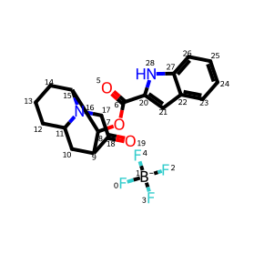 F[B-](F)(F)F.O=C(OC1C2CC3CCCC1N3CC2=O)c1cc2ccccc2[nH]1